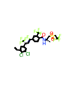 C=Cc1cc([C@@H](/C=C(\F)c2ccc(C(=O)N[C@H](C)CS(=O)(=O)CC(F)(F)F)c(C(F)(F)F)c2)C(F)(F)F)cc(Cl)c1Cl